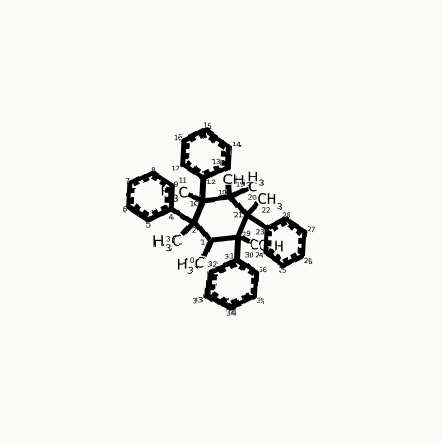 CC1C(C)(c2ccccc2)C(C)(c2ccccc2)C(C)(C)C(C)(c2ccccc2)C1(C(=O)O)c1ccccc1